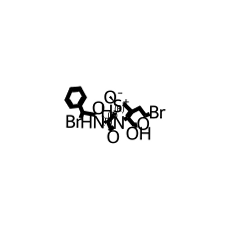 O=C(O)C1=C(CCBr)C[S@+]([O-])[C@@H]2[C@H](NC(=O)C(Br)c3ccccc3)C(=O)N12